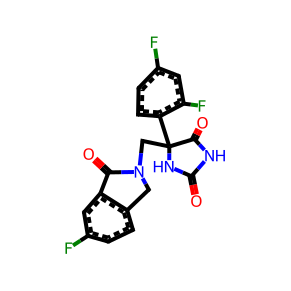 O=C1NC(=O)C(CN2Cc3ccc(F)cc3C2=O)(c2ccc(F)cc2F)N1